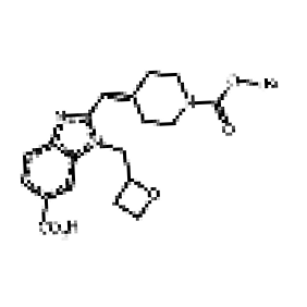 CC(C)(C)OC(=O)N1CCC(=Cc2nc3ccc(C(=O)O)cc3n2CC2CCO2)CC1